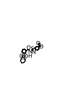 CS(=O)(=O)c1ccc2nc(NC(=O)c3cccc(S(=O)(=O)N4CCCCCC4)c3)sc2c1